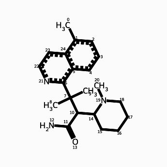 Cc1cccc2c(C(C)(C)C(C(N)=O)C3CCCCN3C)nccc12